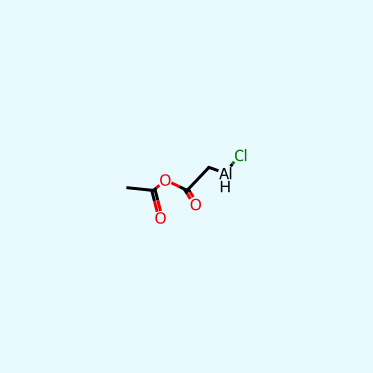 CC(=O)OC(=O)[CH2][AlH][Cl]